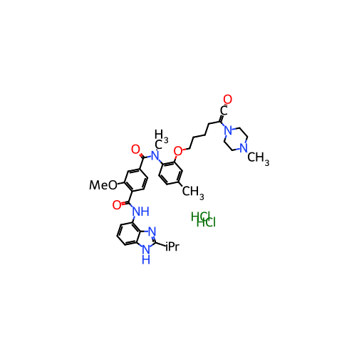 COc1cc(C(=O)N(C)c2ccc(C)cc2OCCCCC(=C=O)N2CCN(C)CC2)ccc1C(=O)Nc1cccc2[nH]c(C(C)C)nc12.Cl.Cl